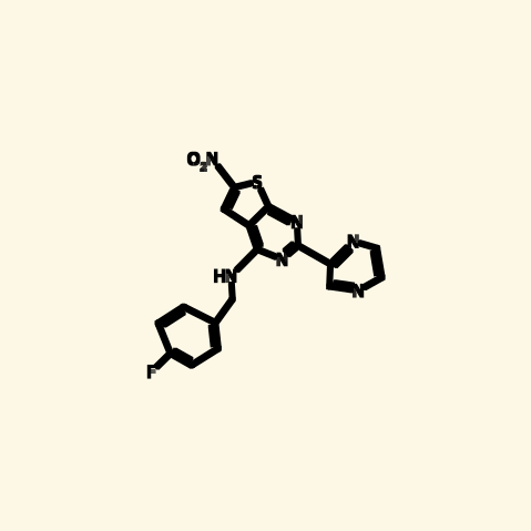 O=[N+]([O-])c1cc2c(NCc3ccc(F)cc3)nc(-c3cnccn3)nc2s1